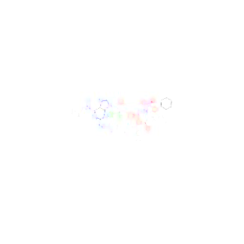 CNc1nc(N)nc2c1ncn2[C@@H]1O[C@H](CCO[P@@](=O)(NC(C)C(=O)OC(C)C)Oc2ccccc2)[C@@H](O)[C@]1(F)Cl